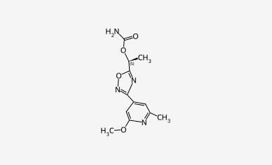 COc1cc(-c2noc([C@H](C)OC(N)=O)n2)cc(C)n1